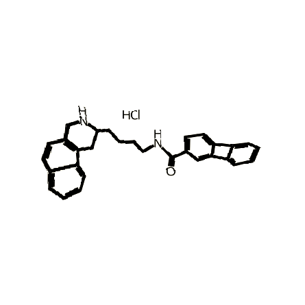 Cl.O=C(NCCCCC1Cc2c(ccc3ccccc23)CN1)c1ccc2c(c1)-c1ccccc1-2